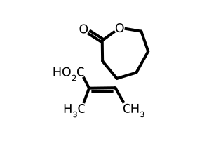 CC=C(C)C(=O)O.O=C1CCCCCO1